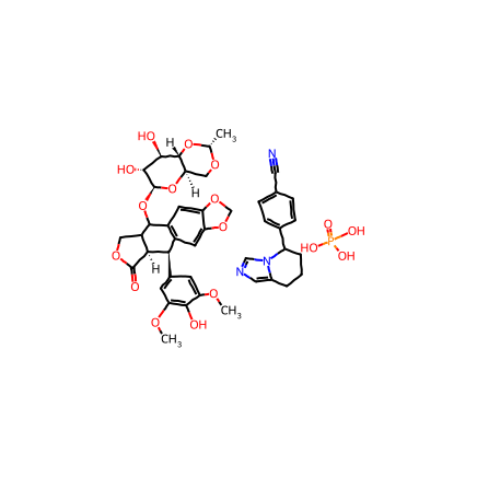 COc1cc([C@@H]2c3cc4c(cc3C(O[C@@H]3O[C@@H]5CO[C@@H](C)O[C@H]5[C@H](O)[C@H]3O)C3COC(=O)[C@@H]32)OCO4)cc(OC)c1O.N#Cc1ccc(C2CCCc3cncn32)cc1.O=P(O)(O)O